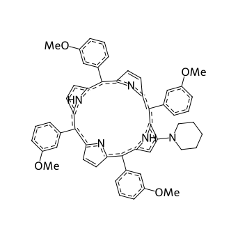 COc1cccc(-c2c3nc(c(-c4cccc(OC)c4)c4cc(N5CCCCC5)c([nH]4)c(-c4cccc(OC)c4)c4nc(c(-c5cccc(OC)c5)c5ccc2[nH]5)C=C4)C=C3)c1